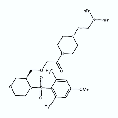 CCCN(CCC)CCN1CCN(C(=O)COC[C@@H]2COCCN2S(=O)(=O)c2c(C)cc(OC)cc2C)CC1